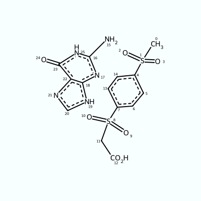 CS(=O)(=O)c1ccc(S(=O)(=O)CC(=O)O)cc1.Nc1nc2[nH]cnc2c(=O)[nH]1